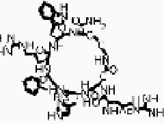 CC(=O)N[C@@H](CCCNC(=N)N)C(O)N[C@H]1CC(=O)NCCCC[C@@H](C(N)=O)NC(=O)[C@H](Cc2c[nH]c3ccccc23)NC(=O)[C@H](CCCNC(=N)N)NC(=O)[C@@H](Cc2ccccc2)NC(O)[C@@H](Cc2c[nH]cn2)NC1=O